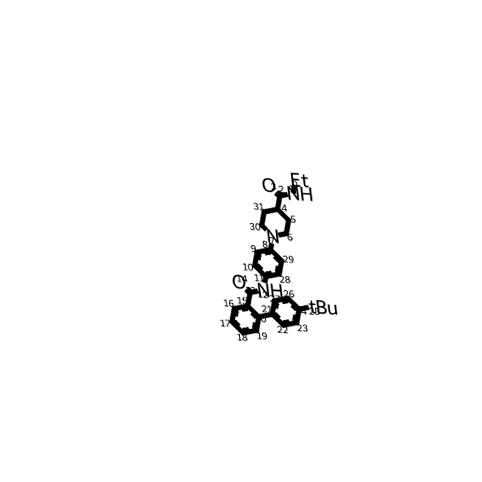 CCNC(=O)C1CCN(c2ccc(NC(=O)c3ccccc3-c3ccc(C(C)(C)C)cc3)cc2)CC1